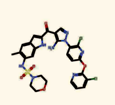 Cc1cc2cc(C(=O)c3cnn(-c4ccc(Oc5ncccc5Cl)nc4Cl)c3N)[nH]c2cc1NS(=O)(=O)N1CCOCC1